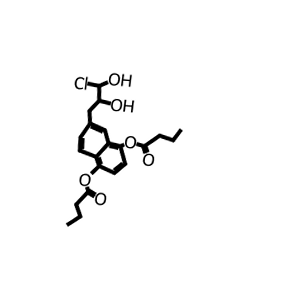 CCCC(=O)Oc1ccc(OC(=O)CCC)c2cc(CC(O)C(O)Cl)ccc12